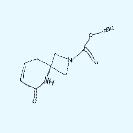 CC(C)(C)OC(=O)N1CC2(CC=CC(=O)N2)C1